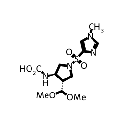 COC(OC)[C@H]1CN(S(=O)(=O)c2cn(C)cn2)C[C@@H]1NC(=O)O